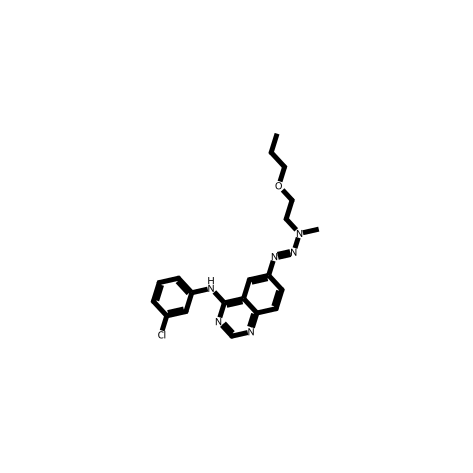 CCCOCCN(C)N=Nc1ccc2ncnc(Nc3cccc(Cl)c3)c2c1